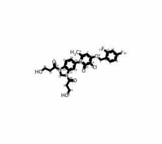 Cc1cc(OCc2ccc(F)cc2F)c(Cl)c(=O)n1-c1ccc2c(c1)N(C(=O)CCO)CN2C(=O)CCO